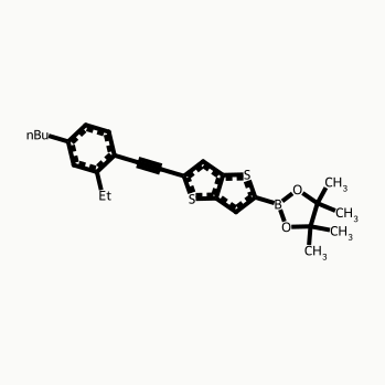 CCCCc1ccc(C#Cc2cc3sc(B4OC(C)(C)C(C)(C)O4)cc3s2)c(CC)c1